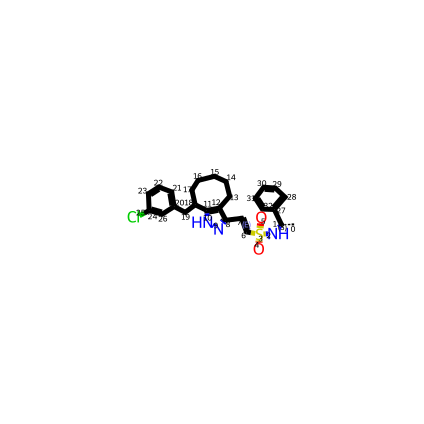 C[C@H](NS(=O)(=O)/C=C/c1n[nH]c2c1CCCCCC2Cc1cccc(Cl)c1)c1ccccc1